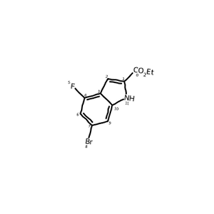 CCOC(=O)c1cc2c(F)cc(Br)cc2[nH]1